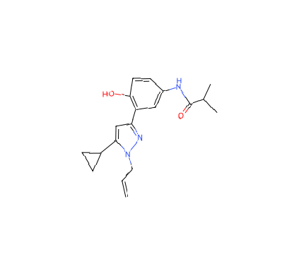 C=CCn1nc(-c2cc(NC(=O)C(C)C)ccc2O)cc1C1CC1